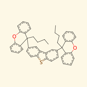 CCCCC1(c2ccc3sc4ccc(C5(CCCC)c6ccccc6Oc6ccccc65)cc4c3c2)c2ccccc2Oc2ccccc21